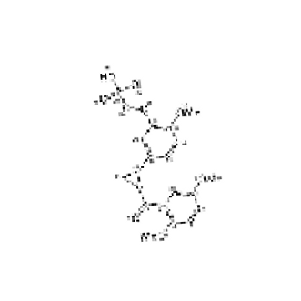 COc1ccc(OC)c(C(=O)C2CC2c2ccc(OC)c(OOP(=O)(O)O)c2)c1